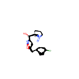 O[C@H](c1cc(Cc2ccc(Cl)cc2)on1)[C@@H]1CCCN1